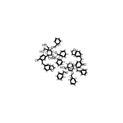 CO[C@@]1(c2ccc(Cl)c(Cc3ccc4c(c3)CCO4)c2)OC(CO)(CO)[C@@H](OCc2ccccc2)[C@H](OCc2ccccc2)[C@H]1OCc1ccccc1.OC[C@@]12CO[C@@](c3ccc(Cl)c(Cc4ccc5c(c4)CCO5)c3)(O1)[C@H](OCc1ccccc1)[C@@H](OCc1ccccc1)[C@@H]2OCc1ccccc1